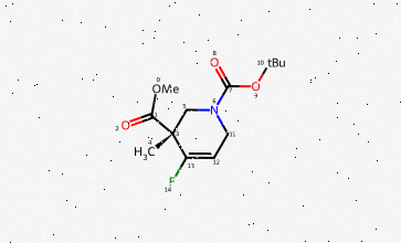 COC(=O)[C@]1(C)CN(C(=O)OC(C)(C)C)CC=C1F